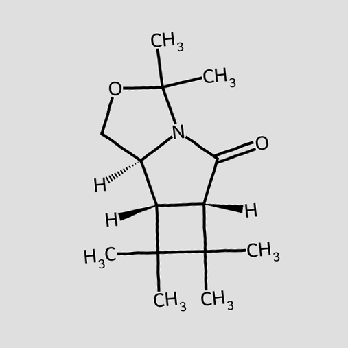 CC1(C)OC[C@@H]2[C@@H]3[C@H](C(=O)N21)C(C)(C)C3(C)C